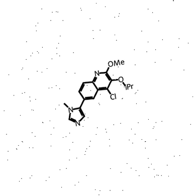 COc1nc2ccc(-c3cncn3C)cc2c(Cl)c1OC(C)C